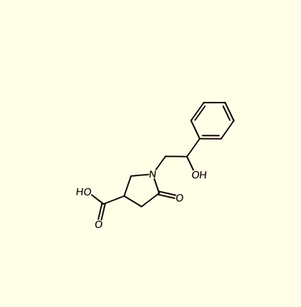 O=C(O)C1CC(=O)N(CC(O)c2ccccc2)C1